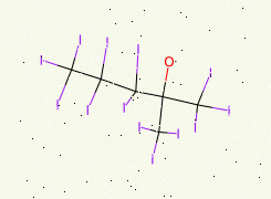 [O]C(C(I)(I)I)(C(I)(I)I)C(I)(I)C(I)(I)C(I)(I)I